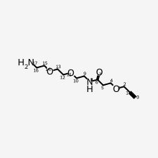 C#CCOCCC(=O)NCCOCCOCCN